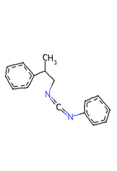 CC(CN=C=Nc1ccccc1)c1ccccc1